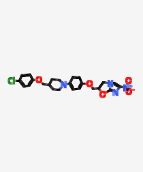 O=[N+]([O-])c1cn2c(n1)OC(COc1ccc(N3CCC(COc4ccc(Cl)cc4)CC3)cc1)C2